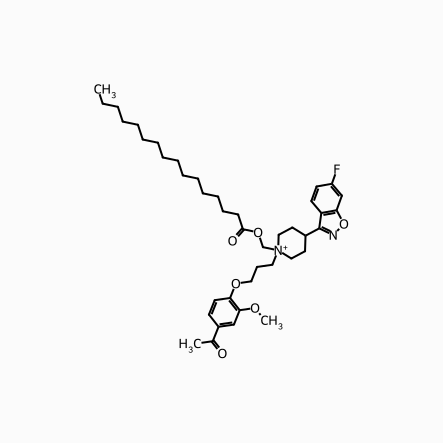 CCCCCCCCCCCCCCCC(=O)OC[N+]1(CCCOc2ccc(C(C)=O)cc2OC)CCC(c2noc3cc(F)ccc23)CC1